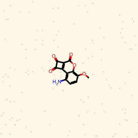 COc1ccc(N)c2c1oc(=O)c1c(=O)c(=O)c12